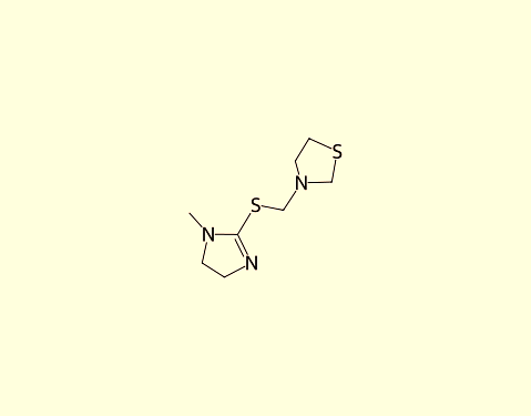 CN1CCN=C1SCN1CCSC1